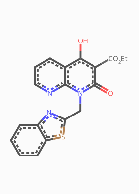 CCOC(=O)c1c(O)c2cccnc2n(Cc2nc3ccccc3s2)c1=O